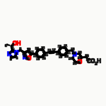 C[C@H](O)c1nccn1Cc1cc(-c2ccc(C#Cc3ccc(CN4CCOC(CC(=O)O)C4)cc3)cc2)on1